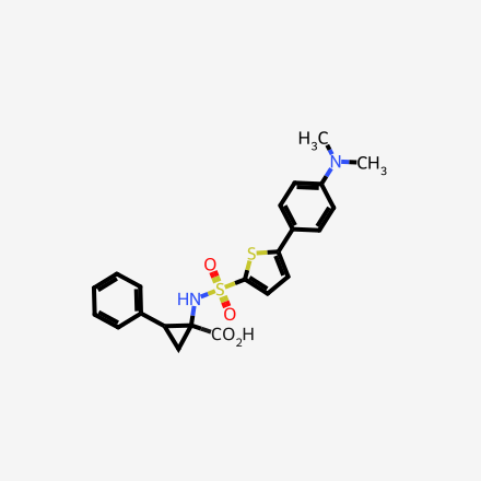 CN(C)c1ccc(-c2ccc(S(=O)(=O)NC3(C(=O)O)CC3c3ccccc3)s2)cc1